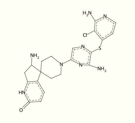 Nc1nc(N2CCC3(CC2)c2ccc(=O)[nH]c2CC3N)cnc1Sc1ccnc(N)c1Cl